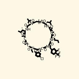 CCCC[C@@H]1NC(=O)[C@H](CCc2ccc(C(F)(F)F)c(F)c2)NC(=O)CN(C)C(=O)[C@H](Cc2ccc(Cl)cc2)N(CC)C(=O)CN(C)C(=O)CN(C)C(=O)[C@H]([C@@H](C)CC)NC(=O)[C@H](CC(C)C)N(C)C(=O)C[C@@H](C)N(C)C(=O)[C@H](CC(C)C)NC(=O)C(C)(C)N(C)C1=O